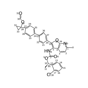 Cc1ccc2c(NC(=O)O[C@H](C)c3ccccc3Cl)c(-c3ccc(-c4ccc(C5(OC=O)CC5)cc4)cc3)oc2n1